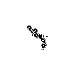 CC(C)Cc1nc(-c2ccc(OCCN(Cc3ccccn3)Cc3ccccn3)cc2)cn1-c1ccc(Oc2ccc(Cl)cc2)cc1